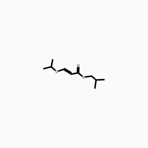 CC(C)COC(=O)/C=C/OC(C)C